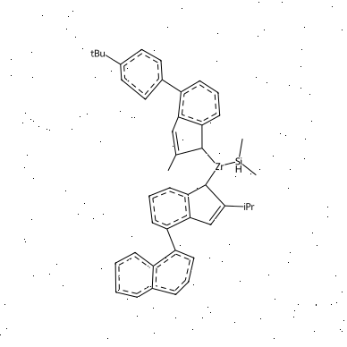 CC1=Cc2c(-c3ccc(C(C)(C)C)cc3)cccc2[CH]1[Zr]([CH]1C(C(C)C)=Cc2c(-c3cccc4ccccc34)cccc21)[SiH](C)C